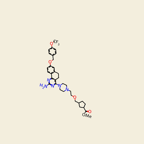 COC(=O)C1CCC(COCCN2CCN(c3nc(N)nc4c3CCc3cc(OCc5ccc(OC(F)(F)F)cc5)ccc3-4)CC2)C1